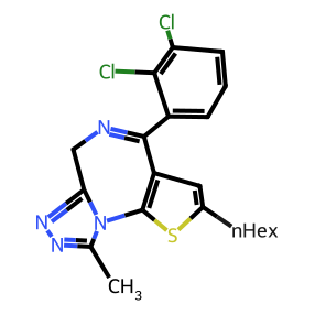 CCCCCCc1cc2c(s1)-n1c(C)nnc1CN=C2c1cccc(Cl)c1Cl